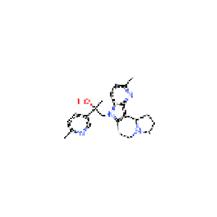 Cc1ccc(C(C)(O)Cn2c3c(c4nc(C)ccc42)C2CCCN2CC3)cn1